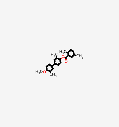 COc1ccc(-c2ccc(OC(=O)c3cc(C)ccc3C)c(C)c2)cc1C